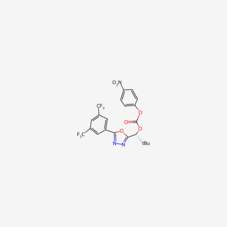 CC(C)(C)[C@@H](OC(=O)Oc1ccc([N+](=O)[O-])cc1)c1nnc(-c2cc(C(F)(F)F)cc(C(F)(F)F)c2)o1